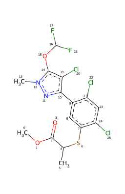 COC(=O)C(C)Sc1cc(-c2nn(C)c(OC(F)F)c2Cl)c(Cl)cc1Cl